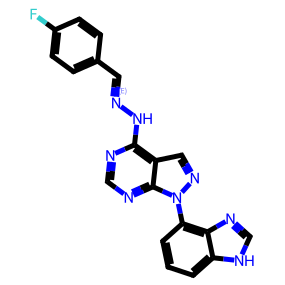 Fc1ccc(/C=N/Nc2ncnc3c2cnn3-c2cccc3[nH]cnc23)cc1